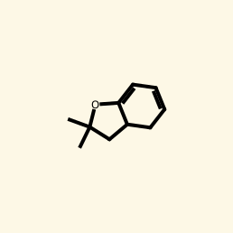 CC1(C)CC2CC=CC=C2O1